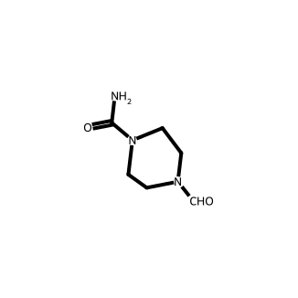 NC(=O)N1CCN(C=O)CC1